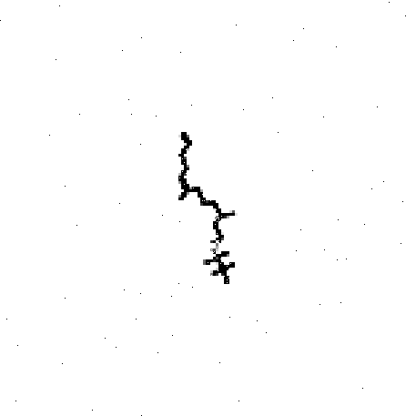 C=CCCC=C(C)CCCC(C)CCO[Si](C)(C)C(C)(C)C